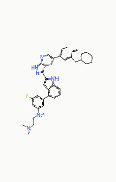 C=C/C(=C\C(=C/C)c1cnc2[nH]nc(-c3cc4c(-c5cc(F)cc(NCCN(C)C)c5)cccc4[nH]3)c2c1)CC1CCCCC1